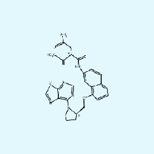 NC(=O)C[C@@H](NC(=O)O)C(=O)Nc1ccc2cccc(OC[C@H]3CCCN3c3ncnc4[nH]cnc34)c2c1